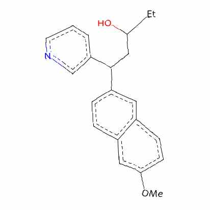 CCC(O)CC(c1cccnc1)c1ccc2cc(OC)ccc2c1